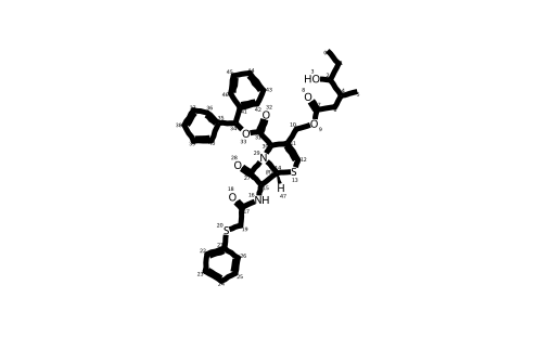 CCC(O)C(C)CC(=O)OCC1=CS[C@@H]2C(NC(=O)CSc3ccccc3)C(=O)N2C1C(=O)OC(c1ccccc1)c1ccccc1